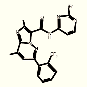 Cc1nc2c(C)cc(-c3ccccc3C(F)(F)F)nn2c1C(=O)Nc1ccnc(C(C)C)n1